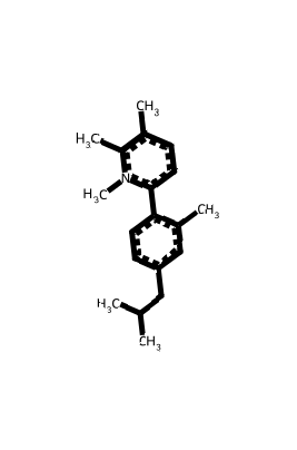 Cc1cc(CC(C)C)ccc1-c1ccc(C)c(C)[n+]1C